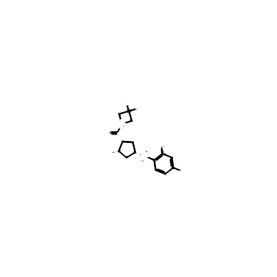 O=C(O)[C@@H]1C[C@H](S(=O)(=O)c2ccc(Br)cc2C(F)(F)F)C[C@H]1C(=O)N1CC(F)(F)C1